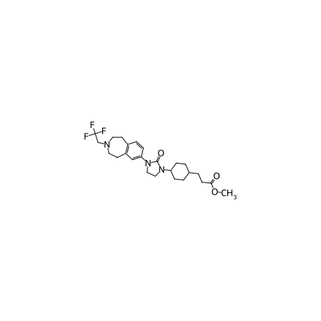 COC(=O)CCC1CCC(N2CCN(c3ccc4c(c3)CCN(CC(F)(F)F)CC4)C2=O)CC1